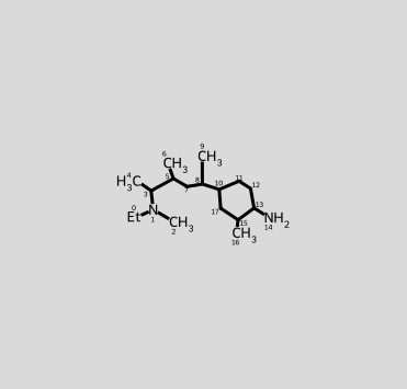 CCN(C)C(C)C(C)CC(C)C1CCC(N)C(C)C1